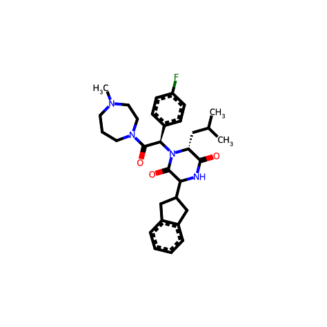 CC(C)C[C@@H]1C(=O)NC(C2Cc3ccccc3C2)C(=O)N1[C@@H](C(=O)N1CCCN(C)CC1)c1ccc(F)cc1